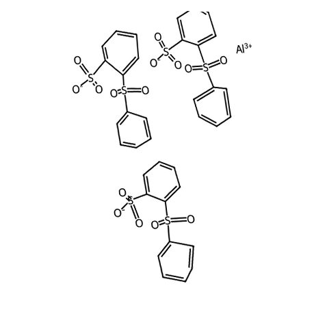 O=S(=O)([O-])c1ccccc1S(=O)(=O)c1ccccc1.O=S(=O)([O-])c1ccccc1S(=O)(=O)c1ccccc1.O=S(=O)([O-])c1ccccc1S(=O)(=O)c1ccccc1.[Al+3]